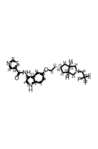 O=C(Nc1c[nH]c2ccc(OCC[C@@H]3C[C@@H]4CN(CC(F)(F)F)C[C@@H]4C3)cc12)c1cncs1